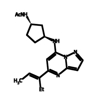 C/C=C(\CC)c1cc(N[C@H]2CC[C@H](NC(C)=O)C2)n2nccc2n1